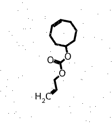 C=CCOC(=O)OC1CC/C=C\CCC1